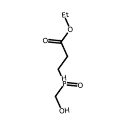 CCOC(=O)CC[PH](=O)CO